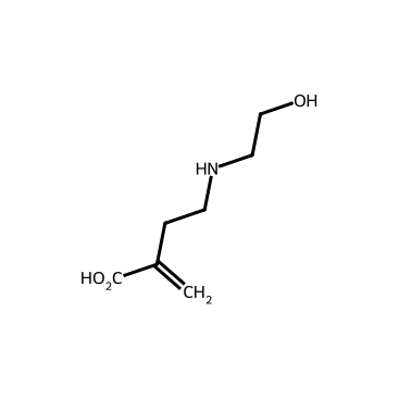 C=C(CCNCCO)C(=O)O